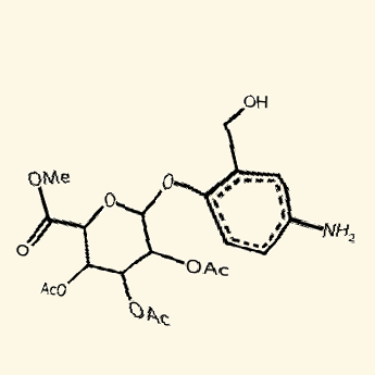 COC(=O)C1OC(Oc2ccc(N)cc2CO)C(OC(C)=O)C(OC(C)=O)C1OC(C)=O